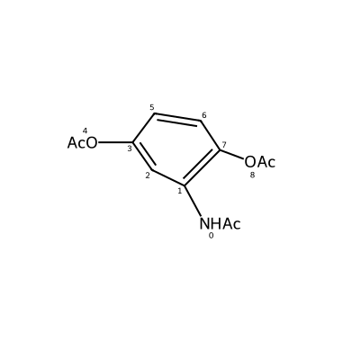 CC(=O)Nc1cc(OC(C)=O)ccc1OC(C)=O